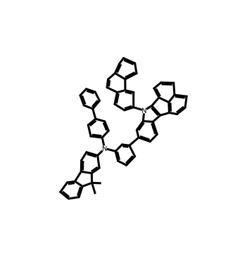 CC1(C)c2ccccc2-c2ccc(N(c3ccc(-c4ccccc4)cc3)c3cccc(-c4ccc5c6c(n(-c7ccc8ccc9ccccc9c8c7)c5c4)-c4cccc5cccc-6c45)c3)cc21